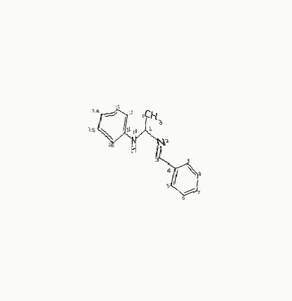 CC(/N=C/c1ccccc1)Nc1ccccc1